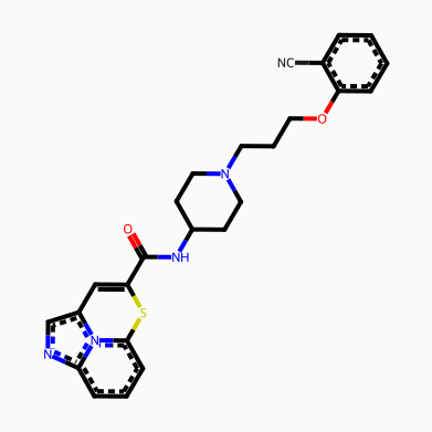 N#Cc1ccccc1OCCCN1CCC(NC(=O)C2=Cc3cnc4cccc(n34)S2)CC1